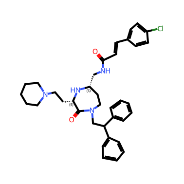 O=C(C=Cc1ccc(Cl)cc1)NC[C@@H]1CCN(CC(c2ccccc2)c2ccccc2)C(=O)[C@H](CCN2CCCCC2)N1